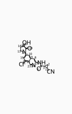 N#CC1CC1C(=O)Nc1cc2cc(N3CC[C@H](O)C3=O)cc(Cl)c2cn1